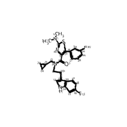 CN(C)c1nc(C(=O)N(CCc2c[nH]c3cc(F)ccc23)CC2CC2)c(-c2cccc(F)c2)s1